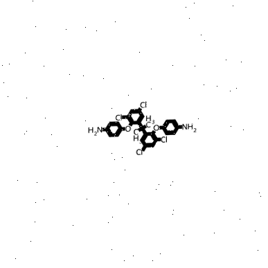 CC(C)(c1cc(Cl)cc(Cl)c1Oc1ccc(N)cc1)c1cc(Cl)cc(Cl)c1Oc1ccc(N)cc1